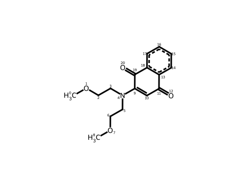 COCCN(CCOC)C1=CC(=O)c2ccccc2C1=O